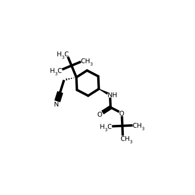 CC(C)(C)OC(=O)N[C@H]1CC[C@@](CC#N)(C(C)(C)C)CC1